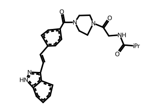 CC(C)C(=O)NCC(=O)N1CCN(C(=O)c2ccc(/C=C/c3n[nH]c4ccccc34)cc2)CC1